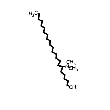 CCCCCCCCCCCCCCCCCC(CCCCCC)N(C)C